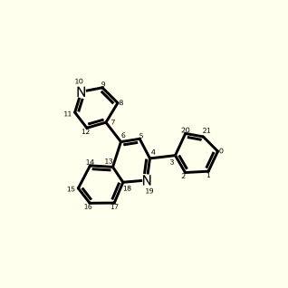 c1ccc(-c2cc(-c3ccncc3)c3ccccc3n2)cc1